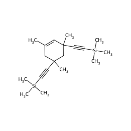 CC1=CC(C)(C#C[Si](C)(C)C)CC(C)(C#C[Si](C)(C)C)C1